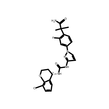 CC(C)(C(N)=O)c1ccc(-n2ccc(NC(=O)N[C@H]3CCOc4c(Cl)cccc43)n2)cc1F